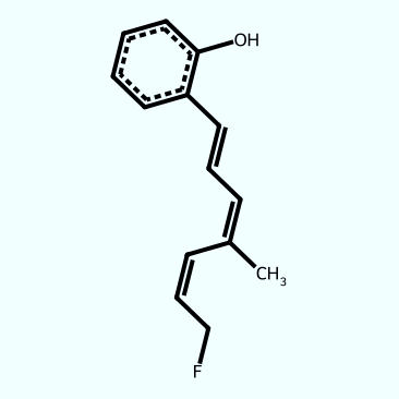 CC(/C=C\CF)=C/C=C/c1ccccc1O